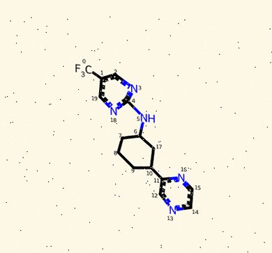 FC(F)(F)c1cnc(NC2CCCC(c3cnccn3)C2)nc1